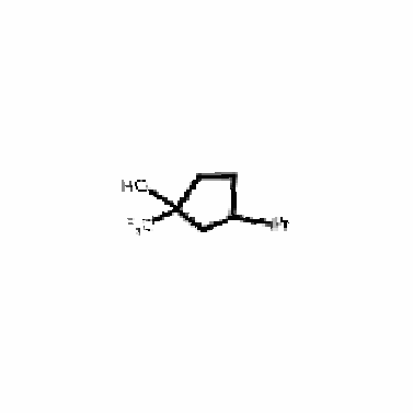 CC(C)C1CCC(O)(C(F)(F)F)C1